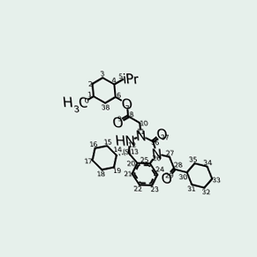 CC1CCC(C(C)C)C(OC(=O)CN2N[C@@H](C3CCCCC3)c3ccccc3N(CC(=O)C3CCCCC3)C2=O)C1